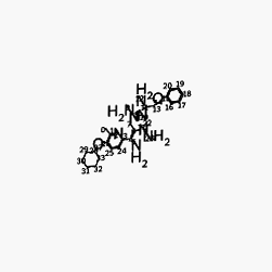 Cc1nc(/C(N)=C(\CN(N)/N=C(\N)COc2ccccc2)N(C)N)ccc1OC1CCCCC1